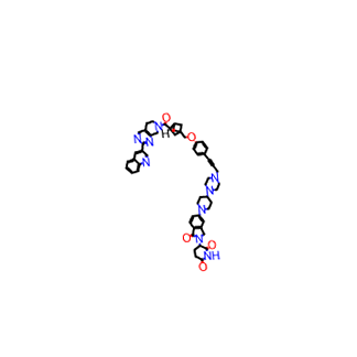 O=C1CCC(N2Cc3cc(N4CCC(N5CCN(CC#Cc6ccc(OCC78CC(C7)[C@@H](C(=O)N7CCc9cnc(-c%10cnc%11ccccc%11c%10)nc9C7)C8)cc6)CC5)CC4)ccc3C2=O)C(=O)N1